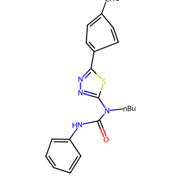 CCCCN(C(=O)Nc1ccccc1)c1nnc(-c2ccc(C=O)cc2)s1